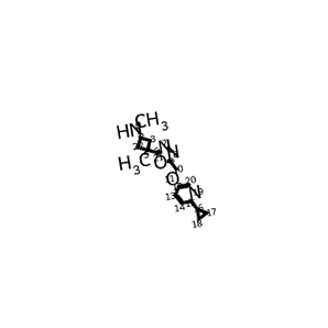 CNC1CC(C)(c2nnc(COc3ccc(C4CC4)nc3)o2)C1